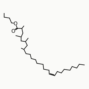 CCCCCCCC/C=C\CCCCCCCCC(C)CC(C)CC(C)CC(C)C(=O)OCCCC